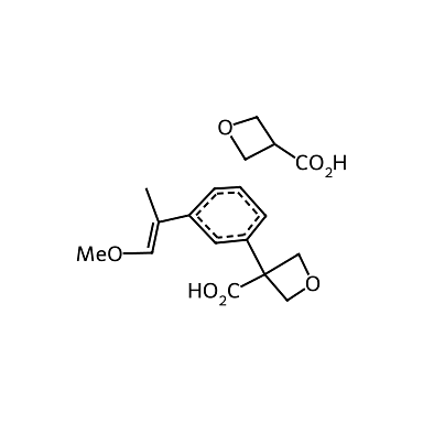 COC=C(C)c1cccc(C2(C(=O)O)COC2)c1.O=C(O)C1COC1